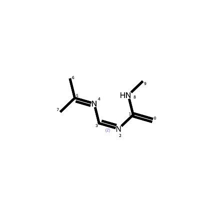 C=C(/N=C\N=C(C)C)NC